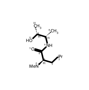 CN[C@H](CC(C)C)C(=O)N[C@@H](C)[C@@H](C)O